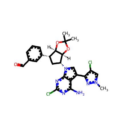 Cn1cc(Cl)c(-c2cn([C@@H]3C[C@H](c4cccc(C=O)c4)[C@H]4OC(C)(C)O[C@H]43)c3nc(Cl)nc(N)c23)n1